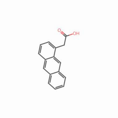 O=C(O)Cc1cccc2cc3ccccc3cc12